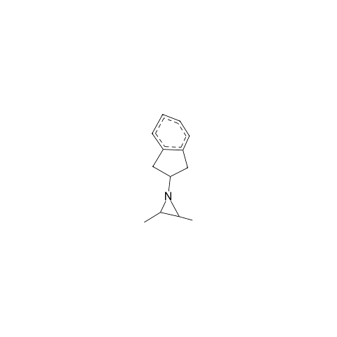 CC1C(C)N1C1Cc2ccccc2C1